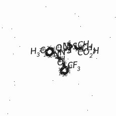 CC(C)(CSc1cnc(NC(=O)N(CCOCc2ccccc2C(F)(F)F)[C@H]2CC[C@H](C)CC2)s1)C(=O)O